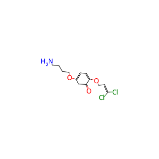 NCCCCOC1=CC=C(OCC=C(Cl)Cl)C(=O)C1